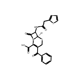 O=C(Cc1cccs1)NC1C(=O)N2C(C(=O)O)=C(C(=O)c3ccccc3)CS[C@H]12